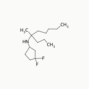 CCCCCC(C)(CCC)NC1CCC(F)(F)C1